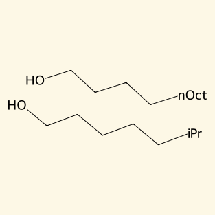 CC(C)CCCCCO.CCCCCCCCCCCCO